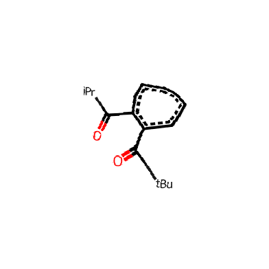 CC(C)C(=O)c1ccccc1C(=O)C(C)(C)C